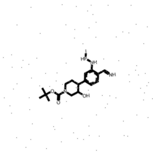 CC(C)(C)OC(=O)N1CCC(c2ccc(C=N)c(NPI)c2)C(O)C1